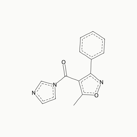 Cc1onc(-c2ccccc2)c1C(=O)n1ccnc1